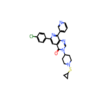 O=c1c2cc(-c3ccc(Cl)cc3)nc(-c3cccnc3)c2ncn1C1CCN(SC2CC2)CC1